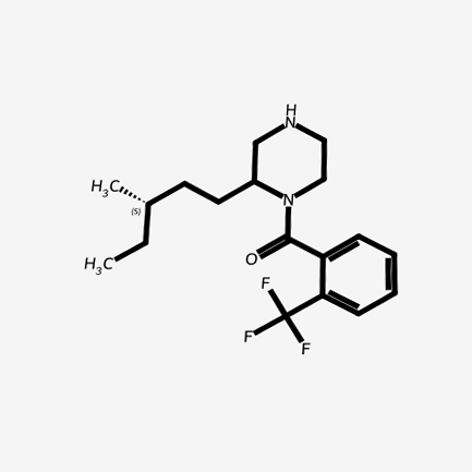 CC[C@H](C)CCC1CNCCN1C(=O)c1ccccc1C(F)(F)F